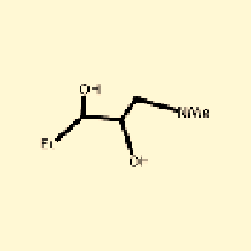 CCC(O)C(O)CNC